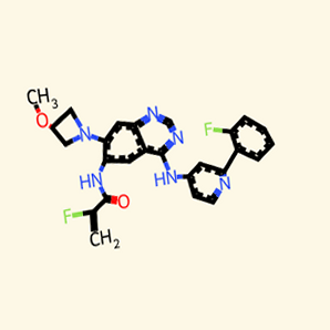 C=C(F)C(=O)Nc1cc2c(Nc3ccnc(-c4ccccc4F)c3)ncnc2cc1N1CC(OC)C1